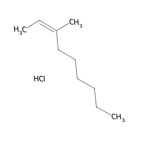 CC=C(C)CCCCCC.Cl